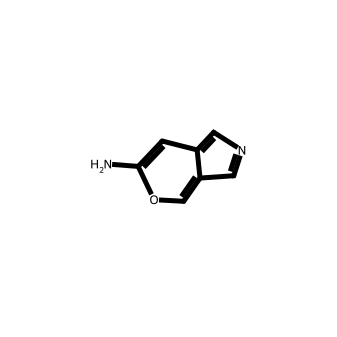 Nc1cc2cncc-2co1